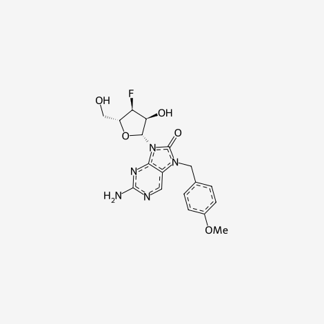 COc1ccc(Cn2c(=O)n([C@@H]3O[C@H](CO)[C@@H](F)[C@H]3O)c3nc(N)ncc32)cc1